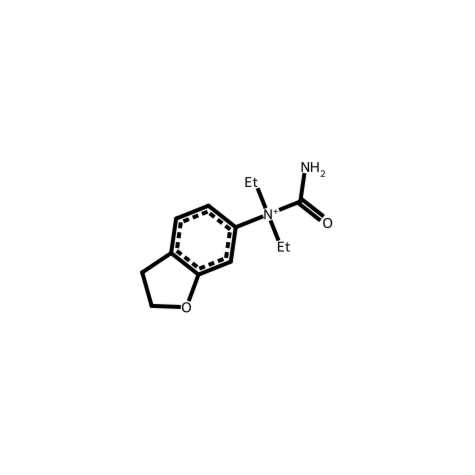 CC[N+](CC)(C(N)=O)c1ccc2c(c1)OCC2